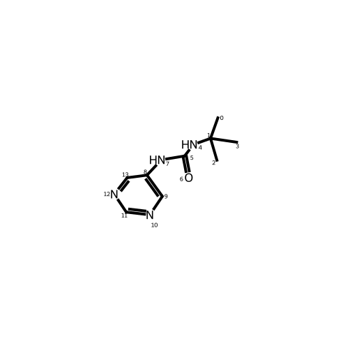 CC(C)(C)NC(=O)Nc1cncnc1